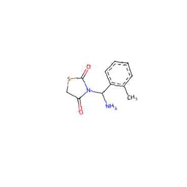 Cc1ccccc1C(N)N1C(=O)CSC1=O